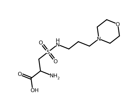 NC(CS(=O)(=O)NCCCN1CCOCC1)C(=O)O